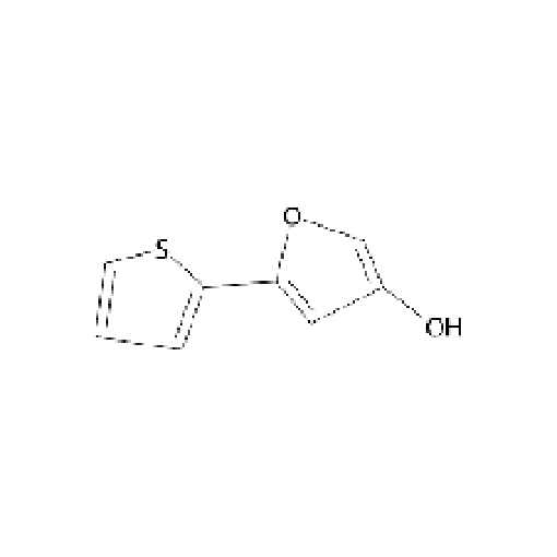 Oc1coc(-c2cccs2)c1